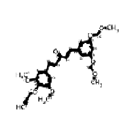 C#CCOc1c(OC)cc(C=CC(=O)C=Cc2cc(OCOC)cc(OCOC)c2)cc1OC